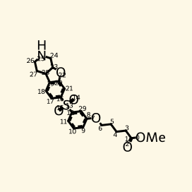 COC(=O)CCCCOc1cccc(S(=O)(=O)c2ccc3c(c2)OC2CNCCC32)c1